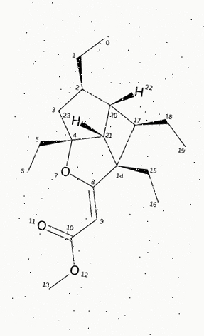 CC[C@@H]1C[C@@]2(CC)O/C(=C\C(=O)OC)[C@@]3(CC)[C@H](CC)[C@@H]1[C@@H]23